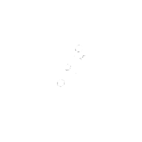 O=C(c1cccc(C(O)(O)F)c1C(O)(O)F)N1CC(CN2CCC(c3ccc(F)cc3)CC2)C(c2ccsc2)C1